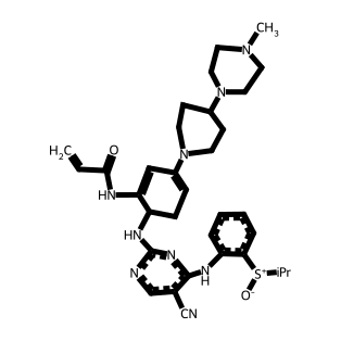 C=CC(=O)NC1=CC(N2CCC(N3CCN(C)CC3)CC2)=CCC1Nc1ncc(C#N)c(Nc2ccccc2[S+]([O-])C(C)C)n1